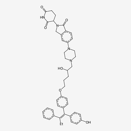 CCC(=C(c1ccc(O)cc1)c1ccc(OCCCC(O)CN2CCN(c3ccc4c(c3)CN(C3CCC(=O)NC3=O)C4=O)CC2)cc1)c1ccccc1